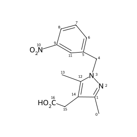 Cc1nn(Cc2cccc([N+](=O)[O-])c2)c(C)c1CC(=O)O